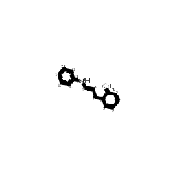 C=C1C=CC=CC1C/C=C/Nc1ccccc1